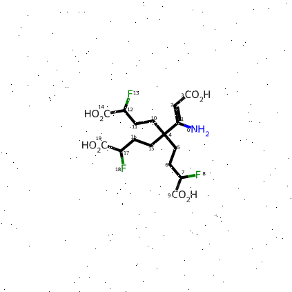 N/C(=C\C(=O)O)C(CCC(F)C(=O)O)(CCC(F)C(=O)O)CCC(F)C(=O)O